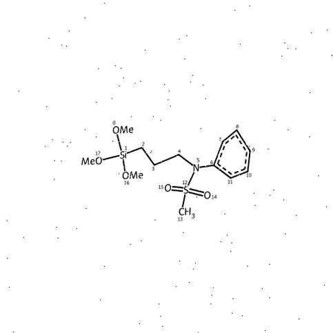 CO[Si](CCCN(c1ccccc1)S(C)(=O)=O)(OC)OC